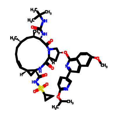 COc1ccc2c(O[C@@H]3C[C@H]4C(=O)N[C@]5(C(=O)NS(=O)(=O)C6CC6)C[C@H]5C=CCC[C@H](C)C[C@@H](C)[C@H](NC(=O)NC(C)(C)C)C(=O)N4C3)nc(-c3ccc(OC(C)C)nc3)cc2c1